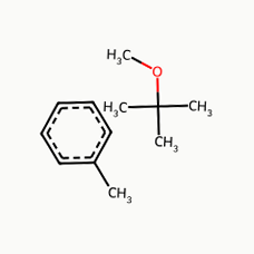 COC(C)(C)C.Cc1ccccc1